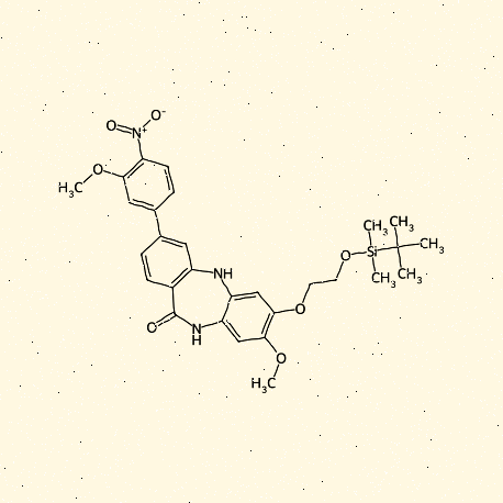 COc1cc2c(cc1OCCO[Si](C)(C)C(C)(C)C)Nc1cc(-c3ccc([N+](=O)[O-])c(OC)c3)ccc1C(=O)N2